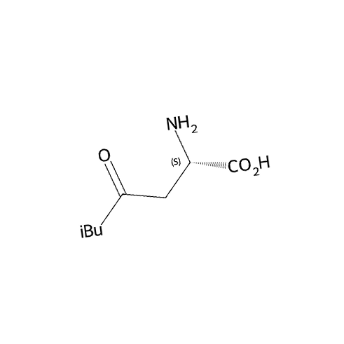 CCC(C)C(=O)C[C@H](N)C(=O)O